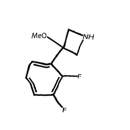 COC1(c2cccc(F)c2F)CNC1